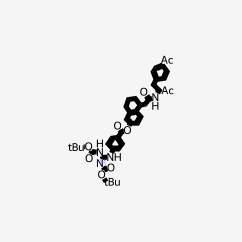 CC(=O)c1ccc(C[C@H](NC(=O)CC2CCCc3cc(OC(=O)c4ccc(N/C(=N\C(=O)OC(C)(C)C)NC(=O)OC(C)(C)C)cc4)ccc32)C(C)=O)cc1